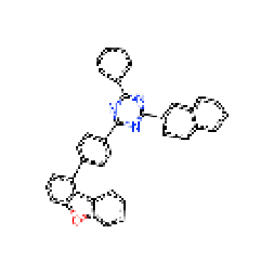 c1ccc(-c2nc(-c3ccc(-c4cccc5oc6ccccc6c45)cc3)nc(-c3ccc4ccccc4c3)n2)cc1